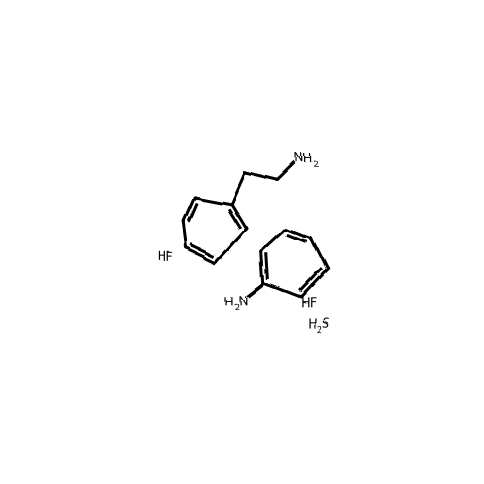 F.F.NCCc1ccccc1.Nc1ccccc1.S